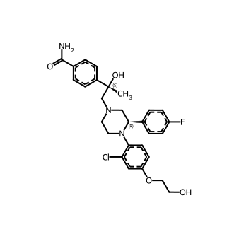 C[C@@](O)(CN1CCN(c2ccc(OCCO)cc2Cl)[C@H](c2ccc(F)cc2)C1)c1ccc(C(N)=O)cc1